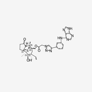 C=C[C@]1(C)C[C@@H](OC(=O)Cn2cc(-c3cccc(Nc4ncnc5[nH]cnc45)c3)nn2)[C@]2(C)[C@H](C)CC[C@]3(CCC(=O)[C@H]32)[C@@H](C)[C@@H]1O